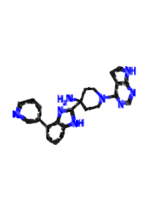 NC1(c2nc3c(-c4cccnc4)cccc3[nH]2)CCN(c2ncnc3[nH]ccc23)CC1